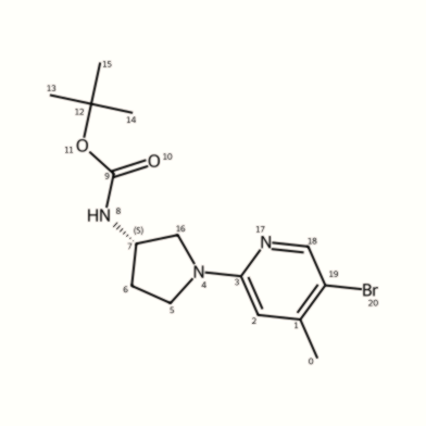 Cc1cc(N2CC[C@H](NC(=O)OC(C)(C)C)C2)ncc1Br